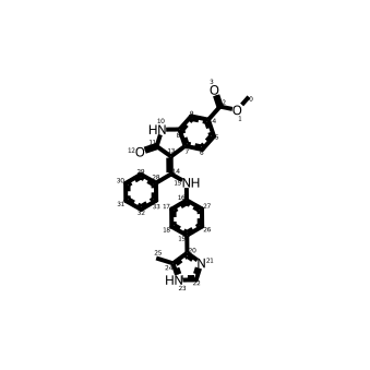 COC(=O)c1ccc2c(c1)NC(=O)C2=C(Nc1ccc(-c2nc[nH]c2C)cc1)c1ccccc1